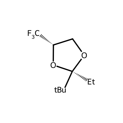 CC[C@@]1(C(C)(C)C)OC[C@@H](C(F)(F)F)O1